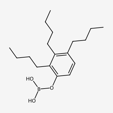 CCCCc1ccc(OB(O)O)c(CCCC)c1CCCC